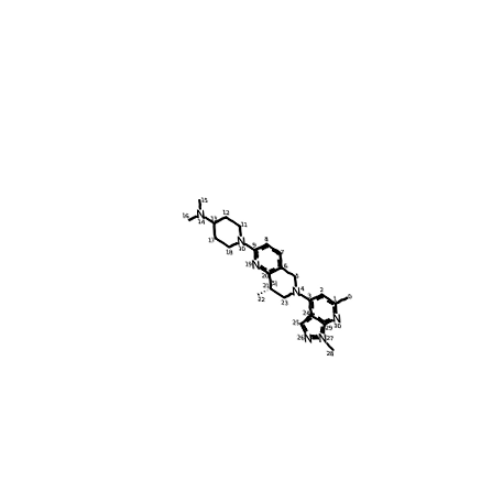 Cc1cc(N2Cc3ccc(N4CCC(N(C)C)CC4)nc3[C@@H](C)C2)c2cnn(C)c2n1